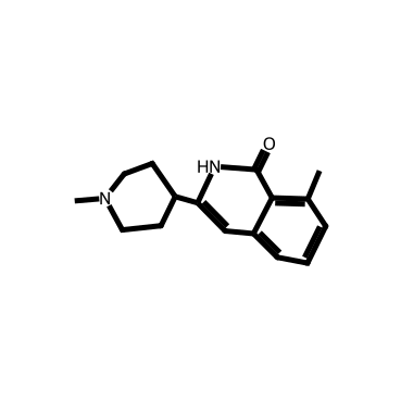 Cc1cccc2cc(C3CCN(C)CC3)[nH]c(=O)c12